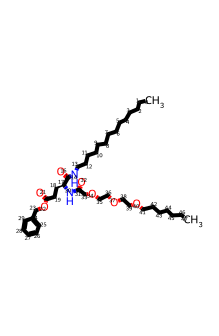 CCCCCCCCCCCCCCNC(=O)[C@H](CCC(=O)OCc1ccccc1)NC(=O)COCCOCCOCCCCCCC